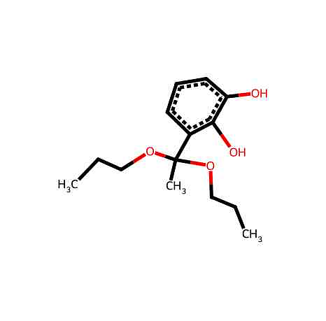 CCCOC(C)(OCCC)c1cccc(O)c1O